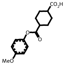 COc1ccc(OC(=O)C2CCC(C(=O)O)CC2)cc1